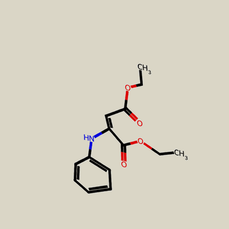 CCOC(=O)/C=C(/Nc1ccccc1)C(=O)OCC